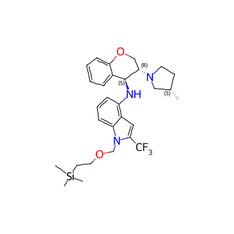 C[C@H]1CCN([C@H]2COc3ccccc3[C@@H]2Nc2cccc3c2cc(C(F)(F)F)n3COCC[Si](C)(C)C)C1